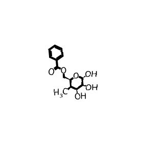 CC1[C@@H](COC(=O)c2ccccc2)O[C@H](O)[C@@H](O)[C@H]1O